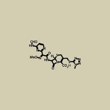 CON=C(C(=O)NC1C(=O)N2C(C(=O)O)=C(CSc3nnnn3C)CS[C@@H]12)c1nccc(NC=O)n1